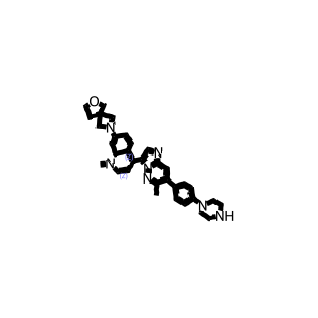 C=N/C=C\C(=C1\C=CC(N2CC3(CCOC3)C2)=CC1)c1cnc2cc(-c3ccc(N4CCNCC4)cc3)c(C)nn12